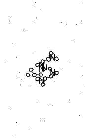 c1ccc(-c2ccc(-c3cccc(-c4cc(-c5cccc(-n6c7ccccc7c7ccc(-c8ccc9c(c8)c8ccccc8n9-c8ccccc8)cc76)c5)nc(-n5c6ccccc6c6ccc(-c7ccc8c(c7)c7ccccc7n8-c7ccccc7)cc65)n4)c3)cc2-c2ccccc2)cc1